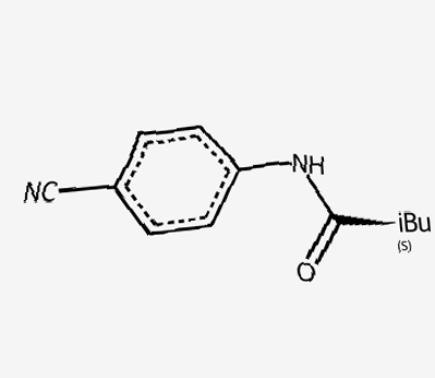 CC[C@H](C)C(=O)Nc1ccc(C#N)cc1